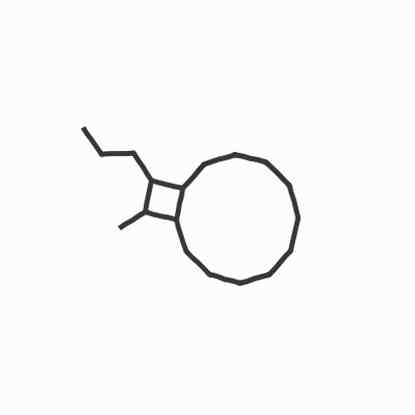 CCCC1C(C)C2CCCCCCCCCCC12